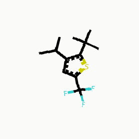 CC(C)c1cc(C(F)(F)F)sc1C(C)(C)C